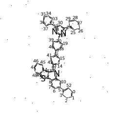 C1=CCCC(c2ccc3c(c2)nc(-c2ccc(-c4ccc(-c5nc(C6=CCCC=C6)cc(-c6ccccc6)n5)cc4)cc2)c2c4ccccc4sc32)=C1